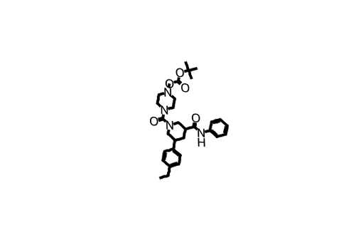 CCc1ccc(C2CC(C(=O)Nc3ccccc3)CN(C(=O)N3CCN(OC(=O)OC(C)(C)C)CC3)C2)cc1